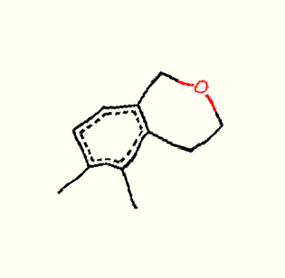 Cc1ccc2c(c1C)CCOC2